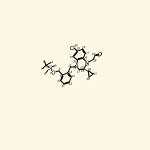 CC(C)(C)[Si](C)(C)OCc1ccccc1CN1C[C@H](C2CC2)N(CC=O)c2ccc(Cl)cc21